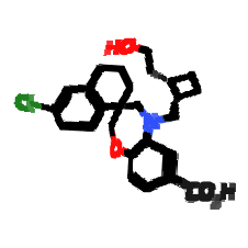 O=C(O)c1ccc2c(c1)N(C[C@@H]1CC[C@H]1CCO)C[C@@]1(CCCc3cc(Cl)ccc31)CO2